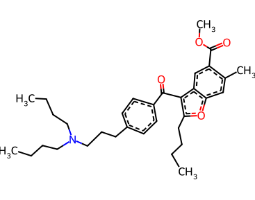 CCCCc1oc2cc(C)c(C(=O)OC)cc2c1C(=O)c1ccc(CCCN(CCCC)CCCC)cc1